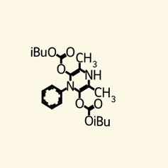 CC1=C(OC(=O)OCC(C)C)N(c2ccccc2)C(OC(=O)OCC(C)C)=C(C)N1